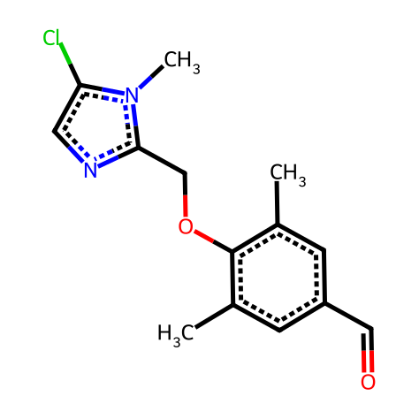 Cc1cc(C=O)cc(C)c1OCc1ncc(Cl)n1C